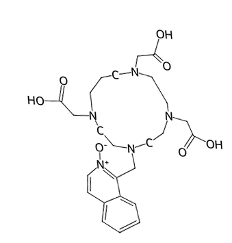 O=C(O)CN1CCCN(CC(=O)O)CCN(Cc2c3ccccc3cc[n+]2[O-])CCN(CC(=O)O)CC1